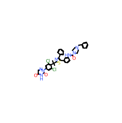 CC(C)(c1nc(-c2ccccc2)c(-c2cccc(NC(=O)N3CCN(Cc4ccccc4)CC3)c2)s1)c1c(Cl)cc(-n2ncc(=O)[nH]c2=O)cc1Cl